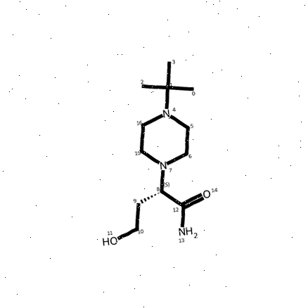 CC(C)(C)N1CCN([C@@H](CCO)C(N)=O)CC1